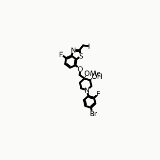 CO[C@@]1(COc2ccc(F)c3nc(CI)sc23)CCN(c2ccc(Br)cc2F)C[C@H]1O